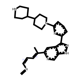 C=N/C=C\C=C(/C)c1cc2c(-c3cccc(N4CCC(C5CCNCC5)CC4)n3)n[nH]c2cn1